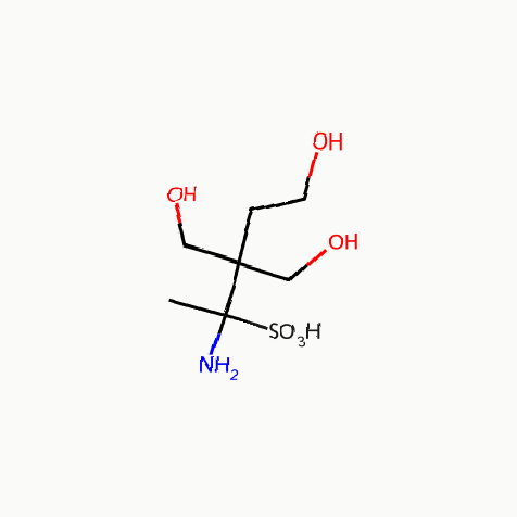 CC(N)(C(CO)(CO)CCO)S(=O)(=O)O